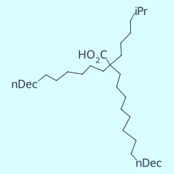 CCCCCCCCCCCCCCCCCCC(CCCCCCCCCCCCCCCC)(CCCCC(C)C)C(=O)O